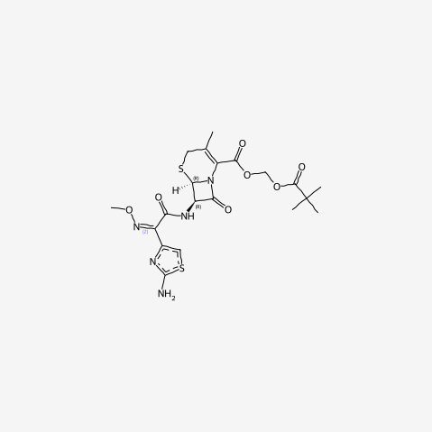 CO/N=C(\C(=O)N[C@@H]1C(=O)N2C(C(=O)OCOC(=O)C(C)(C)C)=C(C)CS[C@H]12)c1csc(N)n1